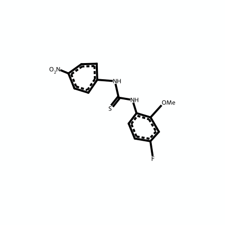 COc1cc(F)ccc1NC(=S)Nc1ccc([N+](=O)[O-])cc1